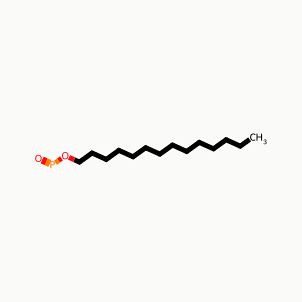 CCCCCCCCCCCCCCOP=O